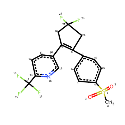 CS(=O)(=O)c1ccc(C2=C(c3ccc(C(F)(F)F)nc3)CC(F)(F)C2)cc1